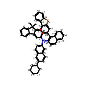 CC1(C)c2ccccc2-c2cc(N(c3ccc4cc(C5CCCCC5)ccc4c3)c3ccc4ccccc4c3-c3ccc4c(c3)sc3ccccc34)ccc21